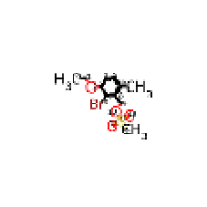 CCOc1ccc(C)c(COS(C)(=O)=O)c1Br